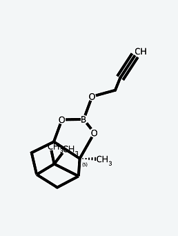 C#CCOB1OC2CC3CC(C3(C)C)[C@]2(C)O1